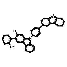 CCc1ccccc1-c1cc2c3ccccc3n(-c3ccc(-c4ccc5sc6ccccc6c5c4)cc3)c2cc1CC